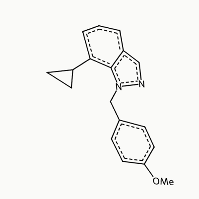 COc1ccc(Cn2ncc3cccc(C4CC4)c32)cc1